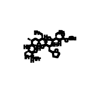 CC(C)C[C@H](NC(=O)OC(C)(C)C)C(=O)N[C@@H](CC1CCCO1)C(=O)N[C@@H](CC(C)C)[C@@H](O)C[C@@H](C)C(=O)N[C@@H](CC(C)C)C(=O)NC(C)C